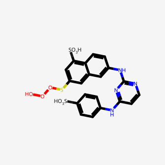 O=S(=O)(O)c1ccc(Nc2ccnc(Nc3ccc4c(S(=O)(=O)O)cc(SOOO)cc4c3)n2)cc1